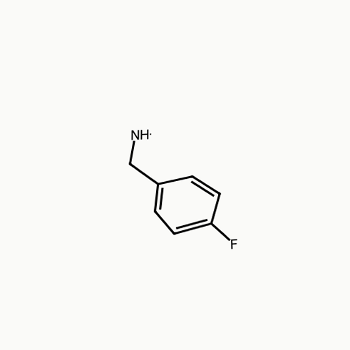 [NH]Cc1ccc(F)cc1